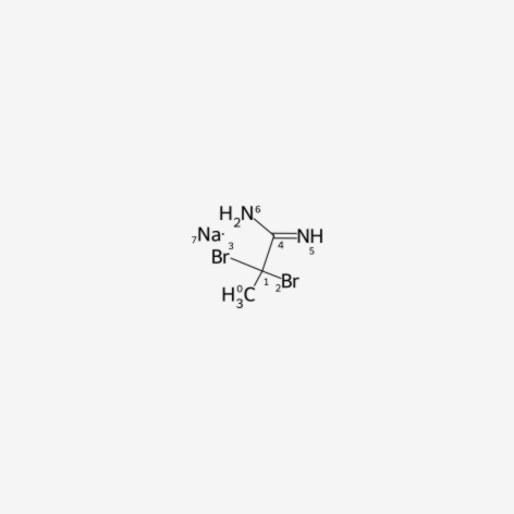 CC(Br)(Br)C(=N)N.[Na]